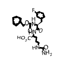 NC(=O)NCCC[C@H](NC(=O)[C@H](Cc1cccc(F)c1)NC(=O)OCc1ccccc1)C(=O)O